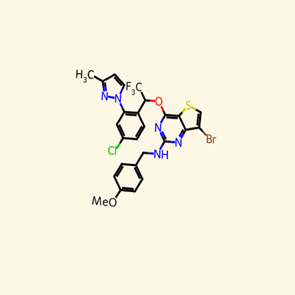 COc1ccc(CNc2nc(OC(c3ccc(Cl)cc3-n3ccc(C)n3)C(F)(F)F)c3scc(Br)c3n2)cc1